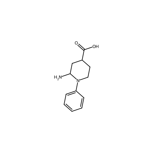 NC1CC(C(=O)O)CCN1c1ccccc1